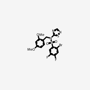 COc1ccc(CN(c2ncns2)S(=O)(=O)c2cc(F)c(F)cc2Br)c(OC)c1